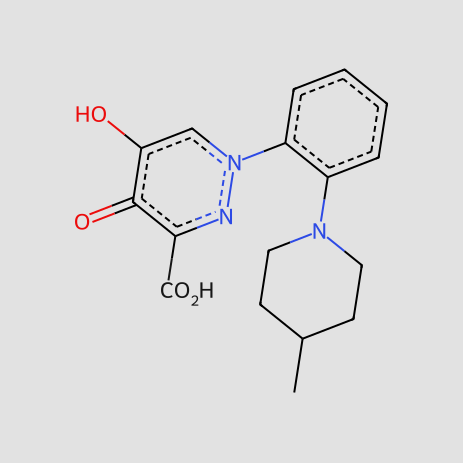 CC1CCN(c2ccccc2-n2cc(O)c(=O)c(C(=O)O)n2)CC1